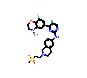 CC(C)N1CCOc2c(F)cc(-c3nc(Nc4ccc5c(c4)CCN(CCS(C)(=O)=O)C5)ncc3F)cc21